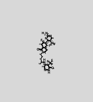 CC(CCCn1ccc2cc(-c3nc(N)ncc3C(F)F)c(F)cc2c1=O)Nc1cn[nH]c(=O)c1C(F)(F)F